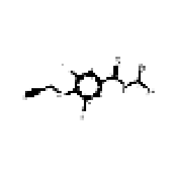 C#CCOc1c(F)cc(C(=O)NC(CC)CC)cc1F